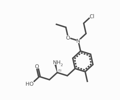 CCON(CCCl)c1ccc(C)c(C[C@H](N)CC(=O)O)c1